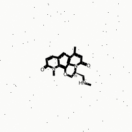 CNC[C@H]1COc2c3c(ccc(=O)n3C)cc3c(C)cc(=O)n1c23